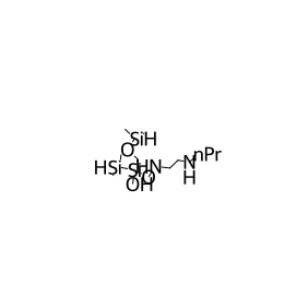 CCCNCCNO[Si](O)(CO[SiH](C)C)[SiH](C)C